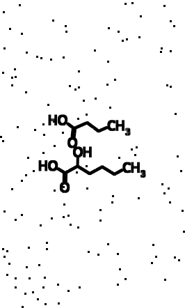 CCCC(=O)O.CCCCC(O)C(=O)O